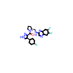 O=C(c1n[nH]cc1-c1ccc(F)cc1)N1CCC[C@H]1CNc1cnc2cc(F)c(F)cc2n1